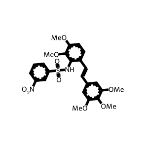 COc1cc(C=Cc2ccc(OC)c(OC)c2NS(=O)(=O)c2cccc([N+](=O)[O-])c2)cc(OC)c1OC